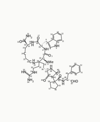 CN[C@@H]1C(=O)N[C@@H](Cc2c[nH]c3ccccc23)C(=O)N[C@H](C(N)=O)CCCCNC1(CCNC(=N)N)CC[C@@H]1NC(=O)N(C2(C(=O)N[C@@H](C=O)Cc3ccccc3)CCCC2)C1=O